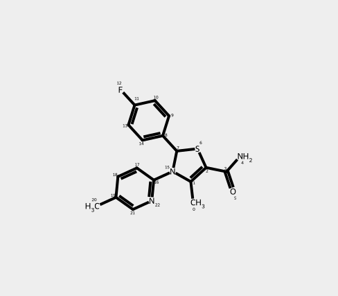 CC1=C(C(N)=O)SC(c2ccc(F)cc2)N1c1ccc(C)cn1